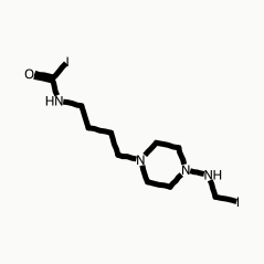 O=C(I)NCCCCN1CCN(NCI)CC1